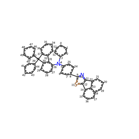 c1ccc(N(c2ccc(-c3nc4c(s3)-c3cccc5cccc-4c35)cc2)c2cccc3c2-c2ccccc2C3(c2ccccc2)c2ccccc2)cc1